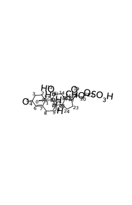 C[C@]12CCC(=O)C=C1CC[C@@H]1[C@@H]2[C@@H](O)C[C@]2(C=O)[C@@H](C(=O)COS(=O)(=O)O)CC[C@@H]12